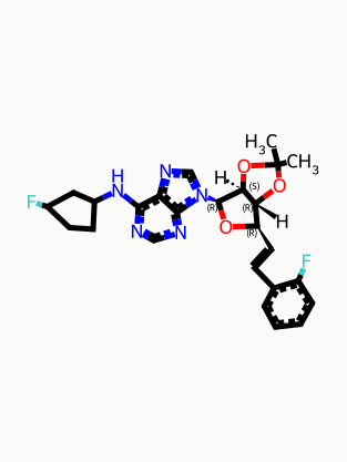 CC1(C)O[C@H]2[C@H](O1)[C@@H](C=Cc1ccccc1F)O[C@H]2n1cnc2c(NC3CCC(F)C3)ncnc21